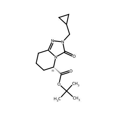 CC(C)(C)OC(=O)[C@@H]1CCCc2nn(CC3CC3)c(=O)n21